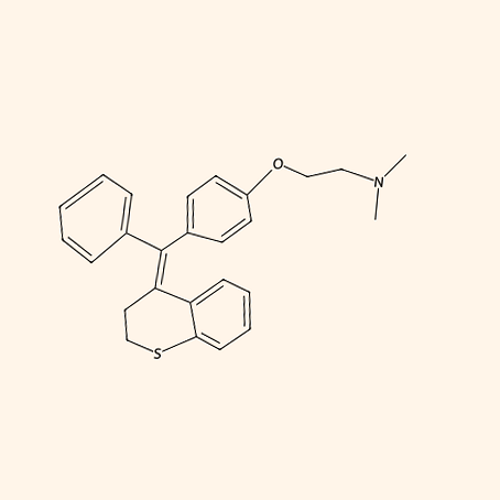 CN(C)CCOc1ccc(C(=C2CCSc3ccccc32)c2ccccc2)cc1